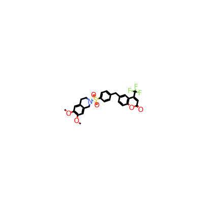 COc1cc2c(cc1OC)CN(S(=O)(=O)c1ccc(Cc3ccc4oc(=O)cc(C(F)(F)F)c4c3)cc1)CC2